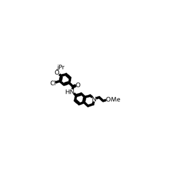 COCCN1CCc2ccc(NC(=O)c3ccc(OC(C)C)c(Cl)c3)cc2C1